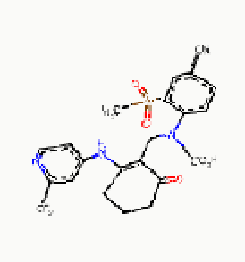 CS(=O)(=O)c1cc(C#N)ccc1N(CC1=C(Nc2ccnc(C(F)(F)F)c2)CCCC1=O)C(=O)O